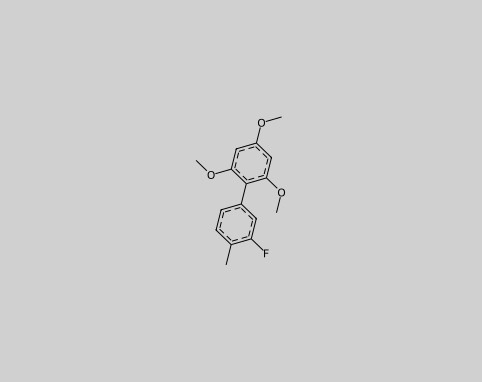 COc1cc(OC)c(-c2ccc(C)c(F)c2)c(OC)c1